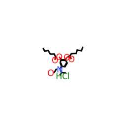 CCCCCC(=O)Oc1ccc(N(CC=O)C(C)C)cc1OC(=O)CCCCC.Cl